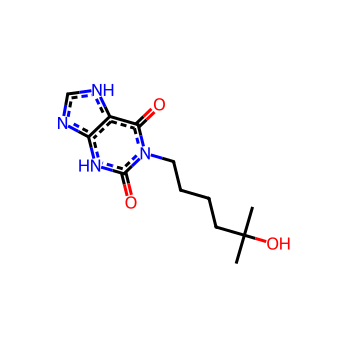 CC(C)(O)CCCCn1c(=O)[nH]c2nc[nH]c2c1=O